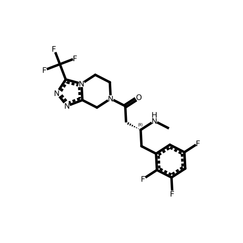 CN[C@@H](CC(=O)N1CCn2c(nnc2C(F)(F)F)C1)Cc1cc(F)cc(F)c1F